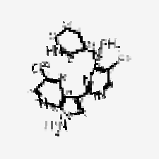 Nn1cc(-c2ncc(F)c(N(P)[C@@H]3CCCNC3)n2)c2cc(Cl)cnc21